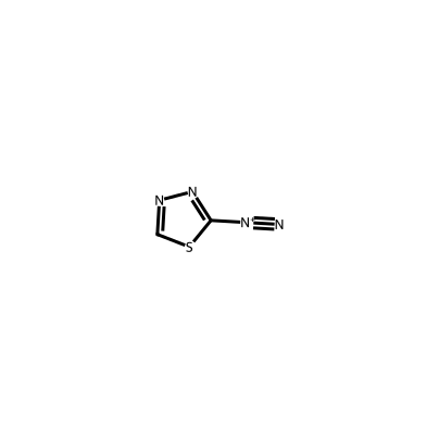 N#[N+]c1nncs1